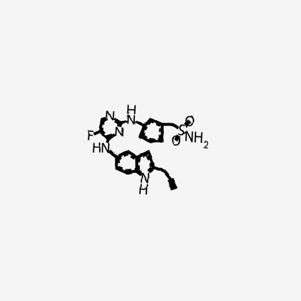 C#CCc1cc2cc(Nc3nc(Nc4cccc(CS(N)(=O)=O)c4)ncc3F)ccc2[nH]1